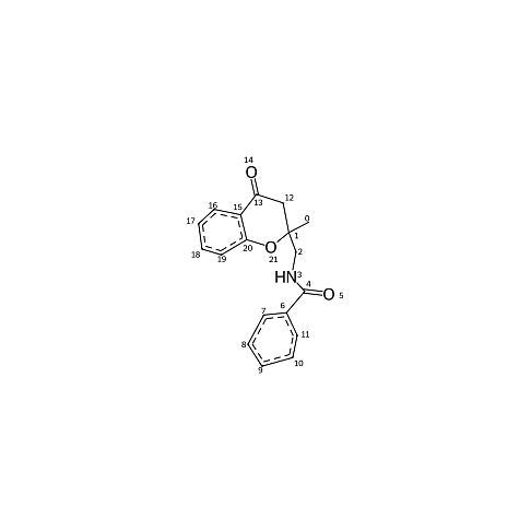 CC1(CNC(=O)c2ccccc2)CC(=O)c2ccccc2O1